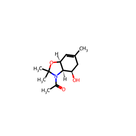 CC(=O)N1[C@@H]2[C@H](O)CC(C)=C[C@@H]2OC1(C)C